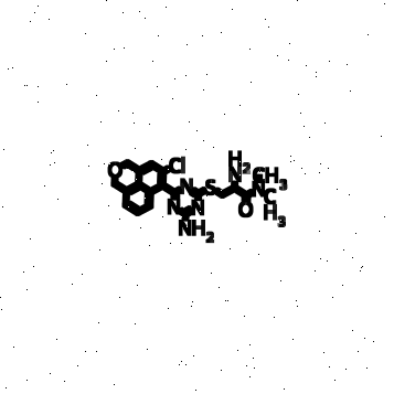 CN(C)C(=O)C(N)CSc1nc(N)nc(-c2c(Cl)cc3c4c(cccc24)COC3)n1